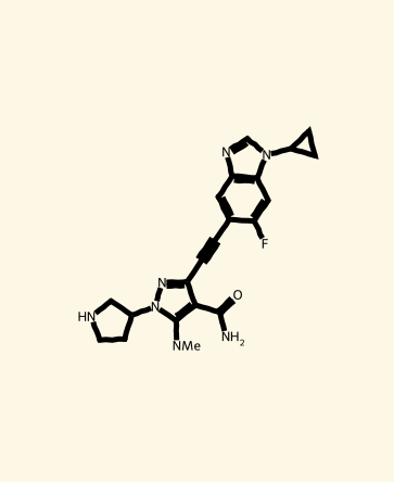 CNc1c(C(N)=O)c(C#Cc2cc3ncn(C4CC4)c3cc2F)nn1C1CCNC1